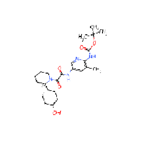 Cc1cc(NC(=O)C(=O)N2CCCC[C@@H]2[C@H]2CC[C@@H](O)CC2)cnc1NC(=O)OC(C)(C)C